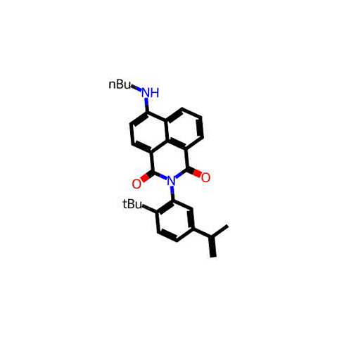 C=C(C)c1ccc(C(C)(C)C)c(N2C(=O)c3cccc4c(NCCCC)ccc(c34)C2=O)c1